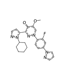 COc1cn(-c2ccc(-n3cccn3)cc2F)nc(-c2ccnn2C2CCCCC2)c1=O